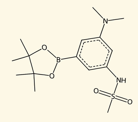 CN(C)c1cc(NS(C)(=O)=O)cc(B2OC(C)(C)C(C)(C)O2)c1